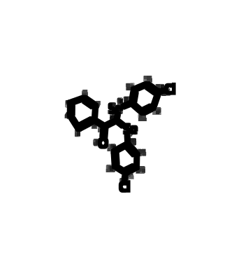 O=C(c1ccccc1)C([Se]c1ccc(Cl)cc1)[Se]c1ccc(Cl)cc1